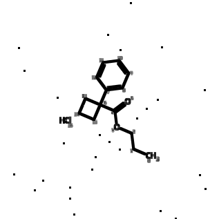 CCCOC(=O)C1(c2ccccc2)CCC1.Cl